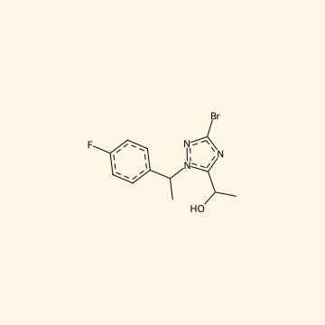 CC(O)c1nc(Br)nn1C(C)c1ccc(F)cc1